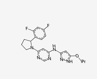 CC(C)Oc1cc(Nc2cc(N3CCCC3c3ccc(F)cc3F)ncn2)n[nH]1